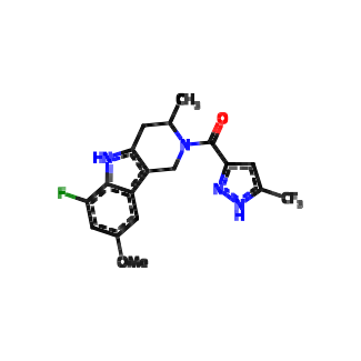 COc1cc(F)c2[nH]c3c(c2c1)CN(C(=O)c1cc(C(F)(F)F)[nH]n1)C(C)C3